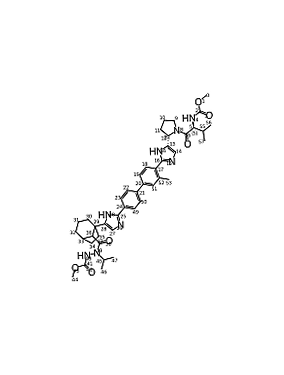 COC(=O)N[C@H](C(=O)N1CCC[C@H]1c1cnc(-c2ccc(-c3ccc(-c4ncc(C56CCCC(CC5)C6C(=O)N(NC(=O)OC)C(C)C)[nH]4)cc3)cc2C)[nH]1)C(C)C